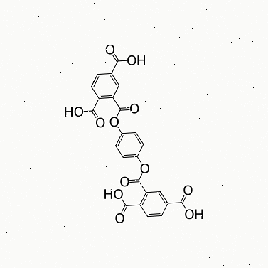 O=C(O)c1ccc(C(=O)O)c(C(=O)Oc2ccc(OC(=O)c3cc(C(=O)O)ccc3C(=O)O)cc2)c1